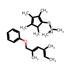 CC1=C(C)C(C)[C]([Ti][SiH](C)C)=C1C.CC=C(C)C=C(C)COc1ccccc1